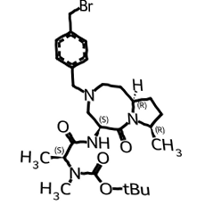 C[C@@H]1CC[C@@H]2CCN(Cc3ccc(CBr)cc3)C[C@H](NC(=O)[C@H](C)N(C)C(=O)OC(C)(C)C)C(=O)N21